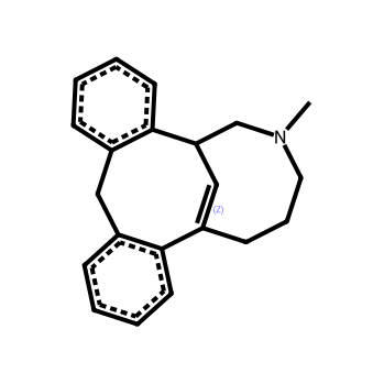 CN1CCC/C2=C/C(C1)c1ccccc1Cc1ccccc12